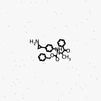 CC(C(=O)c1ccccc1)N(Nc1ccc(C2CC2N)cc1)C(=O)OCc1ccccc1